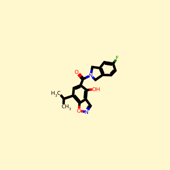 CC(C)c1cc(C(=O)N2Cc3ccc(F)cc3C2)c(O)c2cnoc12